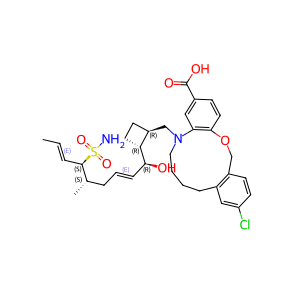 C/C=C/[C@H]([C@@H](C)C/C=C/[C@H](O)[C@@H]1CC[C@H]1CN1CCCCc2cc(Cl)ccc2COc2ccc(C(=O)O)cc21)S(N)(=O)=O